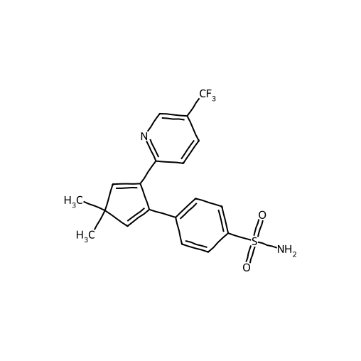 CC1(C)C=C(c2ccc(S(N)(=O)=O)cc2)C(c2ccc(C(F)(F)F)cn2)=C1